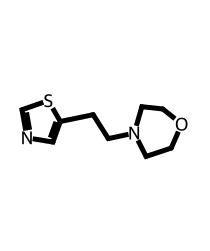 c1ncc(CCN2CCOCC2)s1